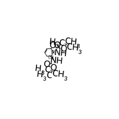 CC(C)(C)OC(=O)N[C@H]1CC=CC(=O)[C@@H]1NC(=O)OC(C)(C)C